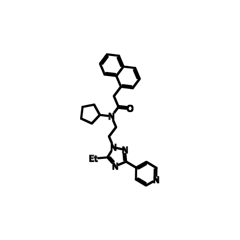 CCc1nc(-c2ccncc2)nn1CCN(C(=O)Cc1cccc2ccccc12)C1CCCC1